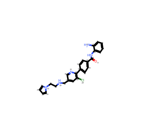 Nc1ccccc1NC(=O)c1ccc(-c2ncc(CNCCn3cccc3)cc2Cl)cc1